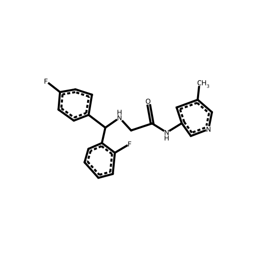 Cc1cncc(NC(=O)CNC(c2ccc(F)cc2)c2ccccc2F)c1